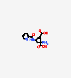 NC1(C(=O)O)CC(NC(=O)c2ccccn2)C2C(C(=O)O)C21